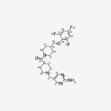 Nc1ncc(CN2CCC(C(=O)N3CCC(COc4c(F)cc(F)cc4F)CC3)CC2)cn1